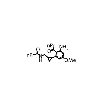 CCCC(=O)NCC1CC1c1cc(OC)cc(N)c1C(=O)CCC